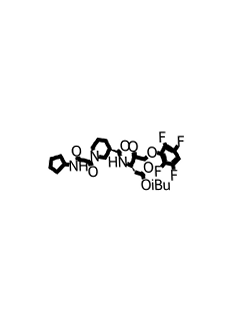 CC(C)COC(=O)C[C@H](NC(=O)[C@@H]1CCCN(C(=O)C(=O)NC2CCCC2)C1)C(=O)COc1c(F)c(F)cc(F)c1F